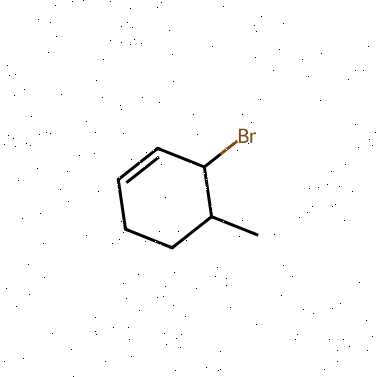 CC1CCC=CC1Br